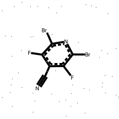 N#Cc1c(F)c(Br)nc(Br)c1F